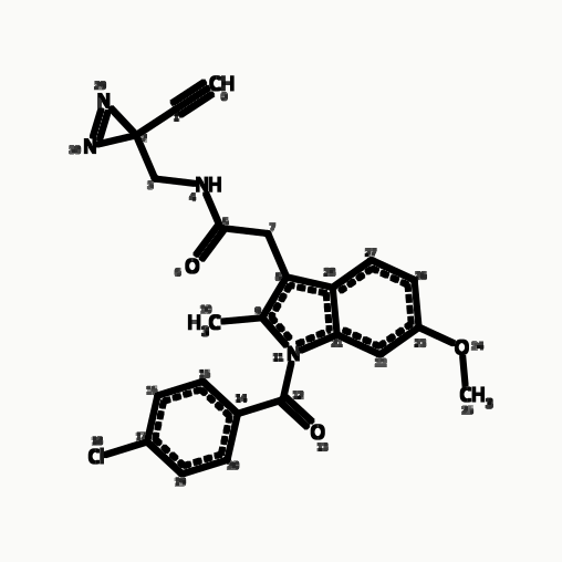 C#CC1(CNC(=O)Cc2c(C)n(C(=O)c3ccc(Cl)cc3)c3cc(OC)ccc23)N=N1